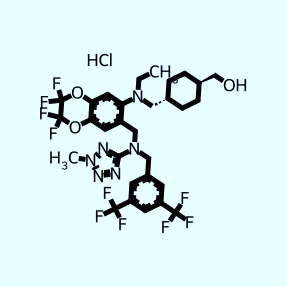 CCN(C[C@H]1CC[C@H](CO)CC1)c1cc2c(cc1CN(Cc1cc(C(F)(F)F)cc(C(F)(F)F)c1)c1nnn(C)n1)OC(F)(F)C(F)(F)O2.Cl